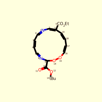 CCOC(=O)C1=CN=CC=CC=NC(C(=O)OC(C)(C)C)OOC=CC=C1